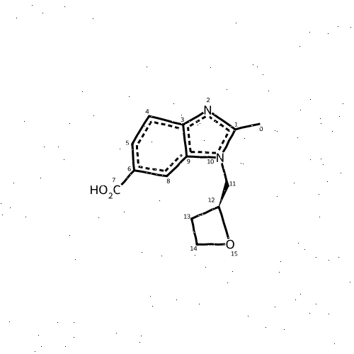 Cc1nc2ccc(C(=O)O)cc2n1C[C@@H]1CCO1